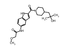 COCC(=O)Nc1ccc2[nH]c(C(=O)N3CCC(CC(C)(C)O)CC3)cc2c1